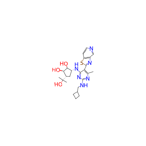 Cc1nc(NCC2CCC2)nc(N[C@@H]2C[C@H](C(C)(C)O)[C@@H](O)[C@H]2O)c1-c1nc2cnccc2s1